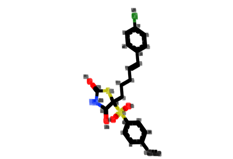 COc1ccc(S(=O)(=O)C2(CCCC=Cc3ccc(Cl)cc3)SC(=O)NC2=O)cc1